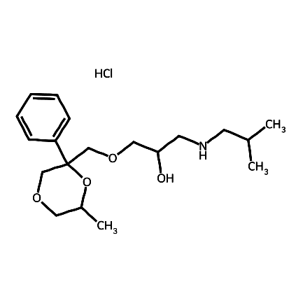 CC(C)CNCC(O)COCC1(c2ccccc2)COCC(C)O1.Cl